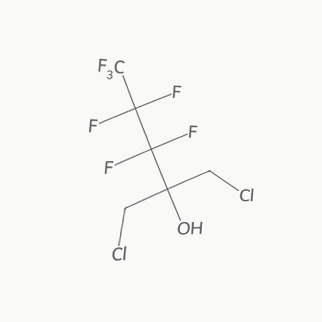 OC(CCl)(CCl)C(F)(F)C(F)(F)C(F)(F)F